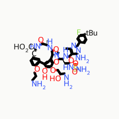 Cc1nc(-c2ccc(C(C)(C)C)c(F)c2)nc(N)c1C(=O)N[C@@H](CCNS(N)(=O)=O)C(=O)N(C)[C@@H]1C(=O)N[C@@H](C)C(=O)N[C@H](C(=O)O)Cc2ccc(OCCCN)c(c2)-c2cc1cc(OC[C@H](O)CN)c2O